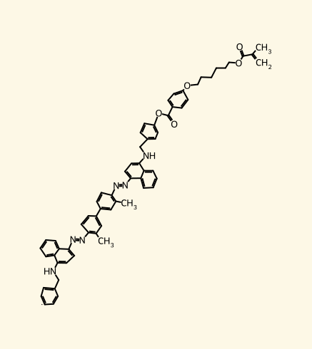 C=C(C)C(=O)OCCCCCCOc1ccc(C(=O)Oc2ccc(CNc3ccc(/N=N/c4ccc(-c5ccc(/N=N/c6ccc(NCc7cc[c]cc7)c7ccccc67)c(C)c5)cc4C)c4ccccc34)cc2)cc1